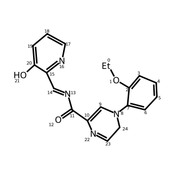 CCOc1ccccc1N1C=C(C(=O)N=Cc2ncccc2O)N=CC1